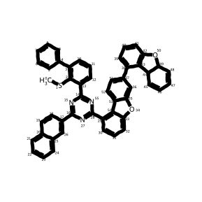 CSc1c(-c2ccccc2)cccc1-c1nc(-c2ccc3ccccc3c2)nc(-c2cccc3oc4cc(-c5cccc6c5C5C=CC=CC5O6)ccc4c23)n1